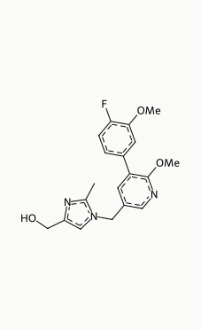 COc1cc(-c2cc(Cn3cc(CO)nc3C)cnc2OC)ccc1F